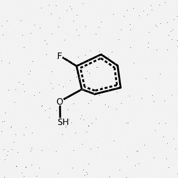 Fc1ccccc1OS